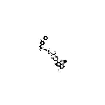 COc1c(N2CCN(C(=O)OCOC(=O)CCCOC(=O)C(C)c3ccc(-c4ccccc4)c(F)c3)C(C)C2)c(F)cc2c(=O)ccn(C3CC3)c12